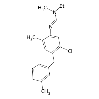 CCN(C)C=Nc1cc(Cl)c(Cc2cccc(C)c2)cc1C